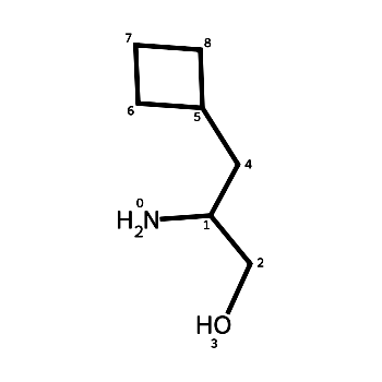 NC(CO)CC1CCC1